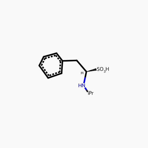 CC(C)N[C@@H](Cc1ccccc1)S(=O)(=O)O